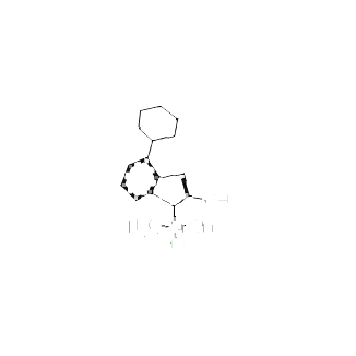 CC1=Cc2c(C3CCCCC3)cccc2C1[Si](C)(C)Cl